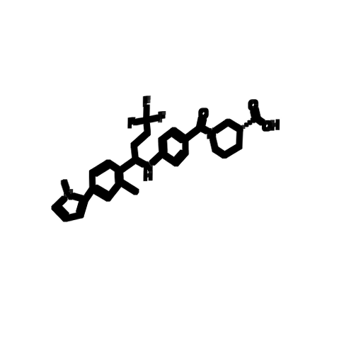 Cc1cc(-c2cccn2C)ccc1C(CCC(F)(F)F)Nc1ccc(C(=O)N2CCC[C@@H](C(=O)O)C2)cc1